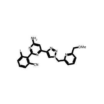 COCc1cccc(Cn2cc(-c3cc(N)nc(-c4c(I)cccc4C#N)n3)nn2)n1